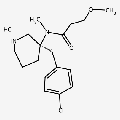 COCCC(=O)N(C)[C@@]1(Cc2ccc(Cl)cc2)CCCNC1.Cl